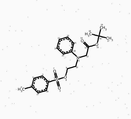 Cc1ccc(S(=O)(=O)OCCN(CC(=O)OC(C)(C)C)c2ccccc2)cc1